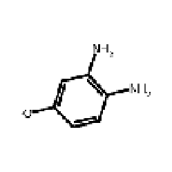 Nc1ccc([O])cc1N